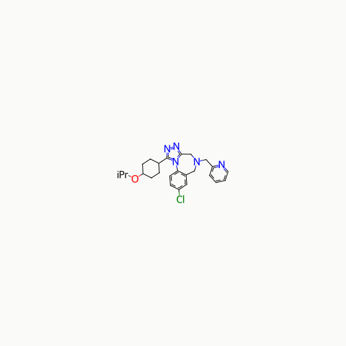 CC(C)OC1CCC(c2nnc3n2-c2ccc(Cl)cc2CN(Cc2ccccn2)C3)CC1